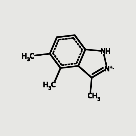 CC1=[N+]Nc2ccc(C)c(C)c21